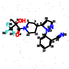 CC(O)(C(=O)N1CCC(c2ccnn2-c2ccccc2C#N)CC1)C(F)(F)F